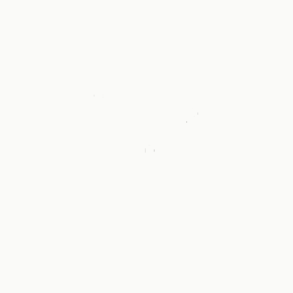 ClOCl.OCC1CCCO1.S